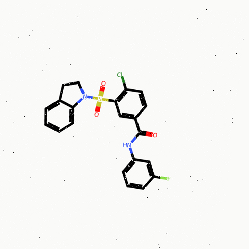 O=C(Nc1cccc(F)c1)c1ccc(Cl)c(S(=O)(=O)N2CCc3ccccc32)c1